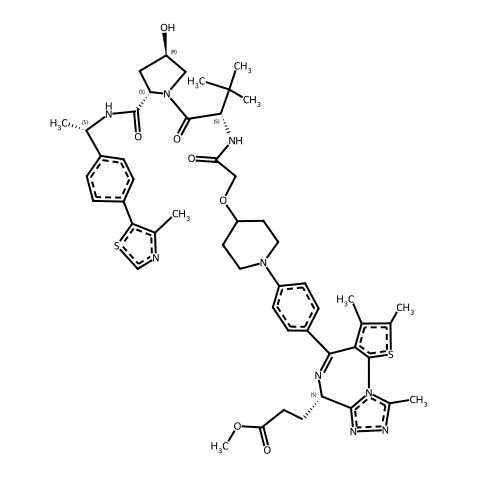 COC(=O)CC[C@@H]1N=C(c2ccc(N3CCC(OCC(=O)N[C@H](C(=O)N4C[C@H](O)C[C@H]4C(=O)N[C@@H](C)c4ccc(-c5scnc5C)cc4)C(C)(C)C)CC3)cc2)c2c(sc(C)c2C)-n2c(C)nnc21